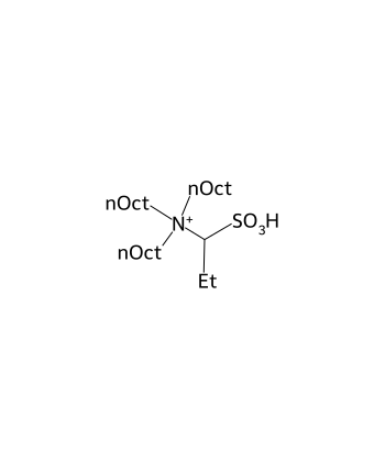 CCCCCCCC[N+](CCCCCCCC)(CCCCCCCC)C(CC)S(=O)(=O)O